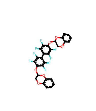 Fc1c(F)c(-c2c(F)c(F)c(OC3COc4ccccc4O3)c(F)c2F)c(F)c(F)c1OC1COc2ccccc2O1